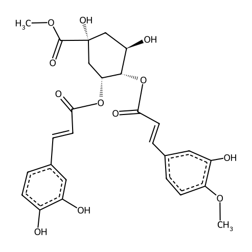 COC(=O)[C@@]1(O)C[C@@H](O)[C@H](OC(=O)/C=C/c2ccc(OC)c(O)c2)[C@H](OC(=O)/C=C/c2ccc(O)c(O)c2)C1